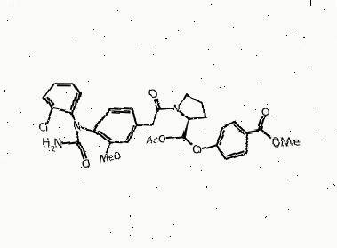 COC(=O)c1ccc(OC(OC(C)=O)[C@@H]2CCCN2C(=O)Cc2ccc(N(C(N)=O)c3ccccc3Cl)c(OC)c2)cc1